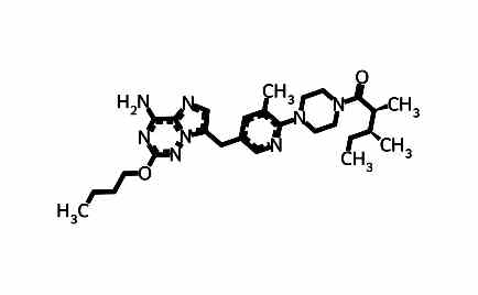 CCCCOc1nc(N)c2ncc(Cc3cnc(N4CCN(C(=O)[C@@H](C)[C@@H](C)CC)CC4)c(C)c3)n2n1